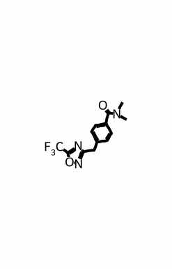 CN(C)C(=O)c1ccc(Cc2noc(C(F)(F)F)n2)cc1